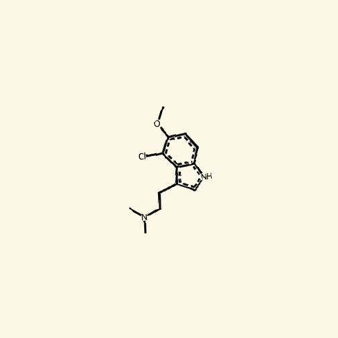 COc1ccc2[nH]cc(CCN(C)C)c2c1Cl